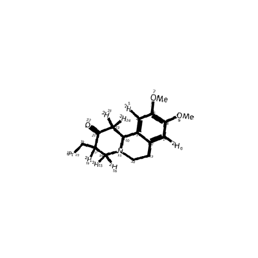 [2H]c1c2c(c([2H])c(OC)c1OC)C1N(CC2)C([2H])([2H])C([2H])(CC(C)C)C(=O)C1([2H])[2H]